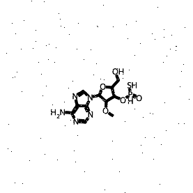 COC1C(O[PH](=O)S)C(CO)OC1n1cnc2c(N)ncnc21